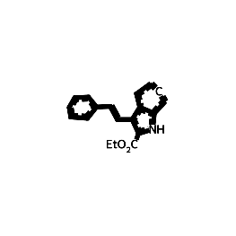 CCOC(=O)c1[nH]c2ccccc2c1C=Cc1ccccc1